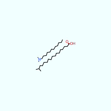 CC(C)CCCCCCCCCCCCCCC(=O)O.CCCCCCCCCCCCN(C)C